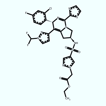 CCOC(=O)Cn1cc(S(=O)(=O)N[C@H]2CC3=C(c4ccn(C(F)F)n4)[C@H](c4ccc(F)cc4Cl)N=C(c4nccs4)N3C2)cn1